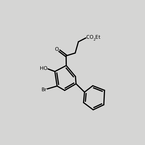 CCOC(=O)CCC(=O)c1cc(-c2ccccc2)cc(Br)c1O